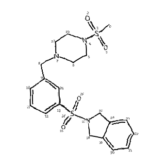 CS(=O)(=O)N1CCN(Cc2cccc(S(=O)(=O)N3Cc4ccccc4C3)c2)CC1